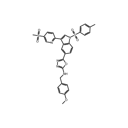 COc1ccc(CNc2nnc(-c3ccc4c(c3)c(-c3ccc(S(C)(=O)=O)cn3)cn4S(=O)(=O)c3ccc(C)cc3)o2)cc1